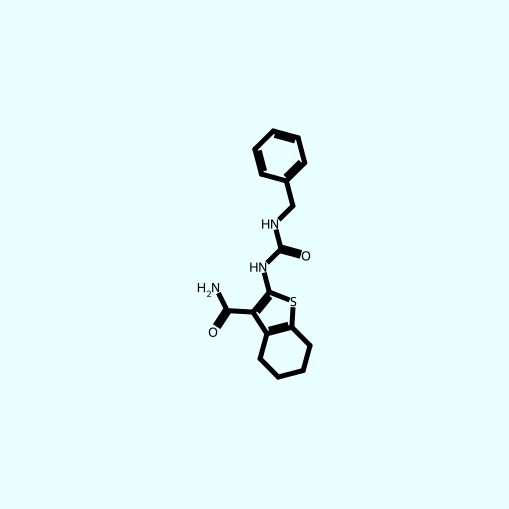 NC(=O)c1c(NC(=O)NCc2ccccc2)sc2c1CCCC2